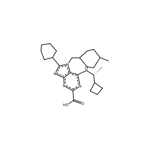 CC1CCC(Cn2c(C3CCCCC3)nc3nc(C(=O)O)nc(N[C@H](C)C4CCC4)c32)CC1